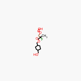 CC(F)(SOOO)C(=O)OCC1CCC(CO)CC1